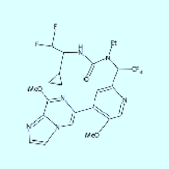 CCN(C(=O)NC(C(F)F)C1CC1)C(c1cc(-c2cn3ccnc3c(OC)n2)c(OC)cn1)C(F)(F)F